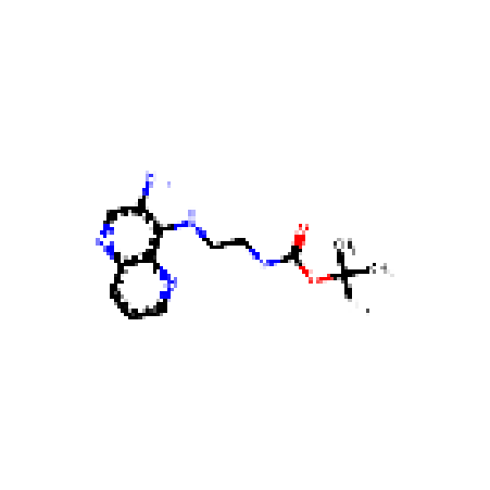 CC(C)(C)OC(=O)NCCNc1c(N)cnc2cccnc12